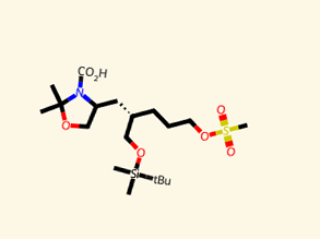 CC1(C)OCC(C[C@H](CCCOS(C)(=O)=O)CO[Si](C)(C)C(C)(C)C)N1C(=O)O